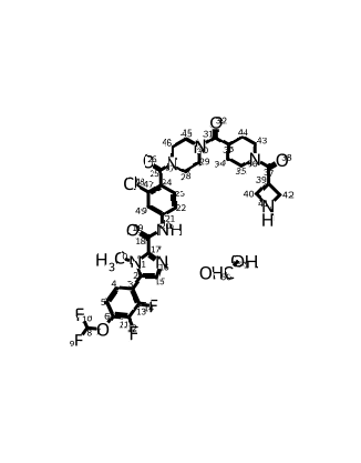 Cn1c(-c2ccc(OC(F)F)c(F)c2F)cnc1C(=O)Nc1ccc(C(=O)N2CCN(C(=O)C3CCN(C(=O)C4CNC4)CC3)CC2)c(Cl)c1.O=CO